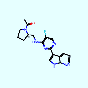 CC(=O)N1CCC[C@@H]1CNc1nc(C2=CNC3NC=CC=C23)ncc1F